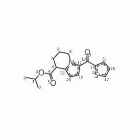 CC(C)OC(=O)C1CCCn2c(C(=O)c3cccs3)ccc21